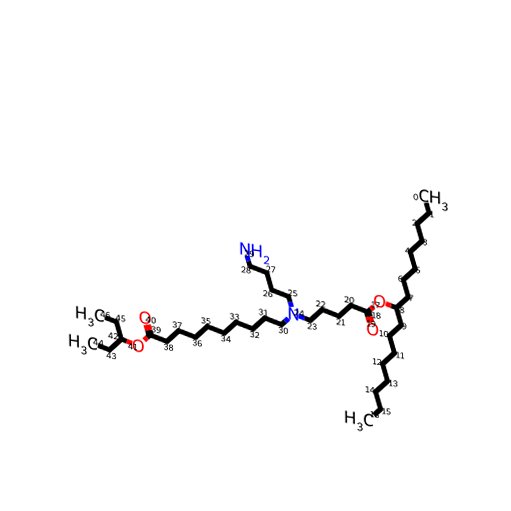 CCCCCCCCC(CCCCCCCC)OC(=O)CCCCN(CCCCN)CCCCCCCCCC(=O)OC(CC)CC